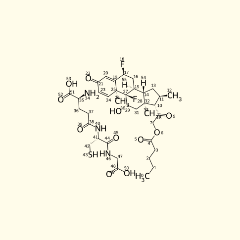 CCCCC(=O)OCC(=O)[C@H]1[C@H](C)C[C@H]2[C@@H]3C[C@H](F)C4=CC(=O)C=C[C@]4(C)[C@@]3(F)[C@@H](O)C[C@@]21C.N[C@@H](CCC(=O)N[C@@H](CS)C(=O)NCC(=O)O)C(=O)O